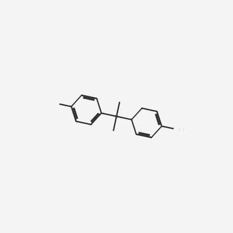 CC(C)(c1ccc(O)cc1)C1C=CC(O)=CC1